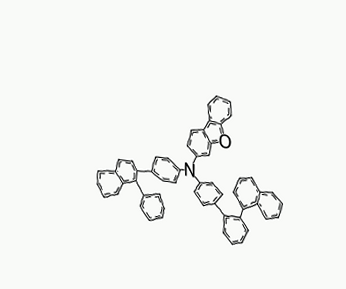 c1ccc(-c2c(-c3ccc(N(c4ccc(-c5ccccc5-c5cccc6ccccc56)cc4)c4ccc5c(c4)oc4ccccc45)cc3)ccc3ccccc23)cc1